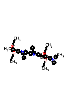 CCCCCCOc1cc(-c2ccc(-c3cc(-c4ccccc4)c4cc(-c5ccc6nc(-c7ccc(C(C)(C)c8cc(OCCCCCC)c(-c9ccc(N(c%10ccccc%10)c%10ccc(C)cc%10)cc9)cc8OCCCCCC)cc7)cc(-c7ccccc7)c6c5)ccc4n3)cc2)c(OCCCCCC)cc1C